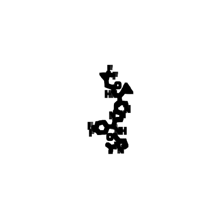 CC(C)n1nccc1C(=O)N[C@H](c1cn2ncc(C(NC(=O)CC3CC3(F)F)C3CC3)cc2n1)C1CCC(F)(F)CC1